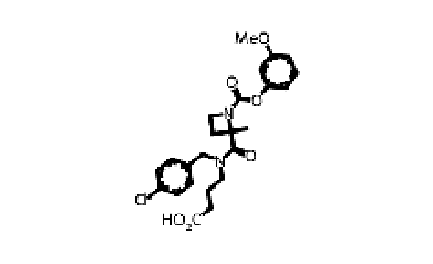 COc1cccc(OC(=O)N2CCC2(C)C(=O)N(CCCC(=O)O)Cc2ccc(Cl)cc2)c1